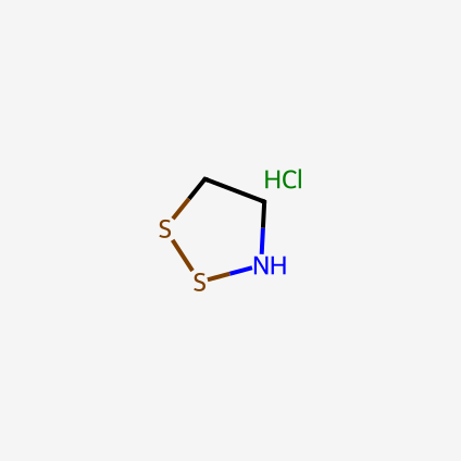 C1CSSN1.Cl